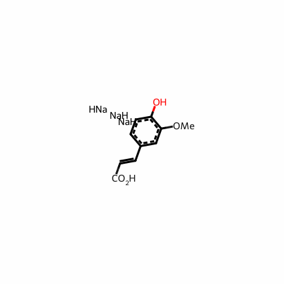 COc1cc(C=CC(=O)O)ccc1O.[NaH].[NaH].[NaH]